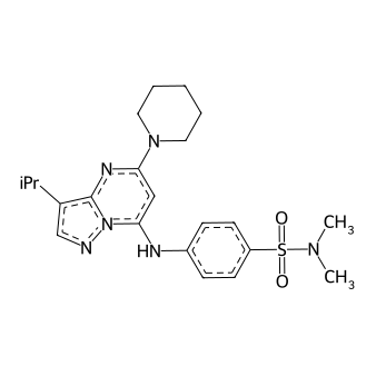 CC(C)c1cnn2c(Nc3ccc(S(=O)(=O)N(C)C)cc3)cc(N3CCCCC3)nc12